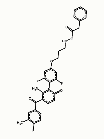 Cc1cc(C(=O)c2ccc(=O)n(-c3c(F)cc(OCCCNOC(=O)Cc4ccccc4)cc3F)c2N)ccc1F